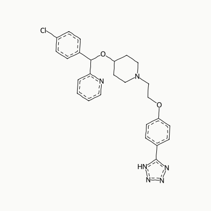 Clc1ccc(C(OC2CCN(CCOc3ccc(-c4nnn[nH]4)cc3)CC2)c2ccccn2)cc1